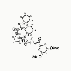 COc1cc(OC)cc(C(=O)NCC(=O)N2c3ccccc3N(Cc3ccccc3)C(=O)[C@H]3CCC[C@H]32)c1